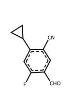 N#Cc1cc(C=O)c(F)cc1C1CC1